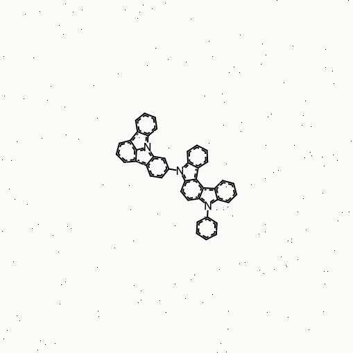 c1ccc(-n2c3ccccc3c3c4c5ccccc5n(-c5ccc6c7cccc8c9ccccc9n(c6c5)c87)c4ccc32)cc1